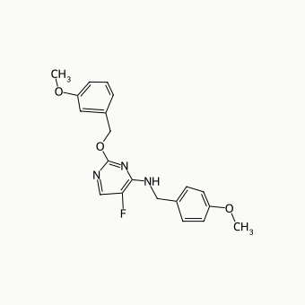 COc1ccc(CNc2nc(OCc3cccc(OC)c3)ncc2F)cc1